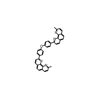 Cc1ccc2ccc3ccc(-c4ccc(Oc5ccc(-c6ccc7ccc8ccc(C)nc8c7n6)cc5)cc4)nc3c2n1